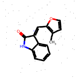 Cc1ccoc1/C=C1/C(=O)Nc2ccccc21